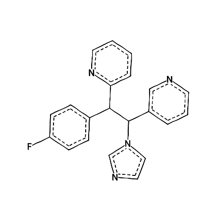 Fc1ccc(C(c2ccccn2)C(c2cccnc2)n2ccnc2)cc1